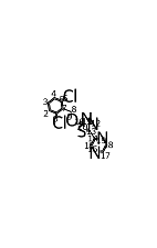 Clc1cccc(Cl)c1COc1nnc(-c2cnccn2)s1